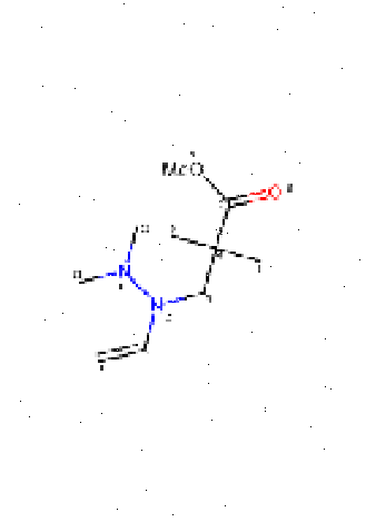 C=CN(CC(C)(C)C(=O)OC)N(C)C